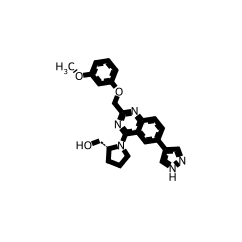 COc1cccc(OCc2nc(N3CCC[C@@H]3CO)c3cc(-c4cn[nH]c4)ccc3n2)c1